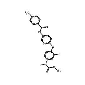 Cc1cc(N(C)C(=O)OC(C)(C)C)ccc1Oc1ccc(NC(=O)c2ccc(C(F)(F)F)cc2)cn1